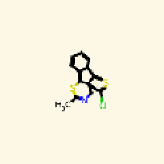 CC1=NCC23CC(Cl)=CSC=C2C2C=CC=CC2=C3S1